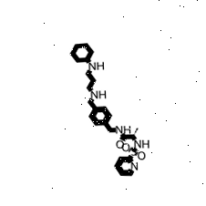 C[C@H](NS(=O)(=O)c1ccccn1)C(=O)NCc1ccc(CNCCCNC2CCCCC2)cc1